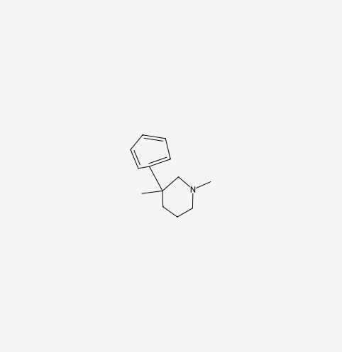 CN1CCCC(C)(c2ccccc2)C1